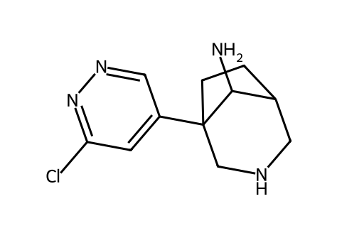 NC1C2CCC1(c1cnnc(Cl)c1)CNC2